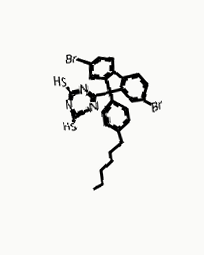 CCCCCCc1ccc(C2(c3nc(S)nc(S)n3)c3cc(Br)ccc3-c3ccc(Br)cc32)cc1